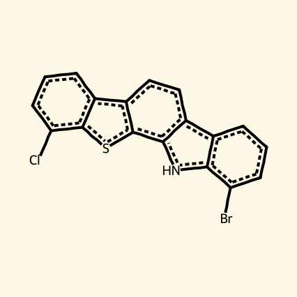 Clc1cccc2c1sc1c2ccc2c3cccc(Br)c3[nH]c21